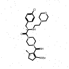 CNC1=C(C(=N)N2CCN(C(=O)[C@@H](Cc3ccc(Cl)cc3)NCCN3CCOCC3)CC2)[C@H](C)CC1